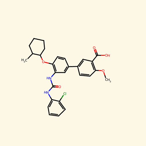 COc1ccc(-c2ccc(OC3CCCCC3C)c(NC(=O)Nc3ccccc3Cl)c2)cc1C(=O)O